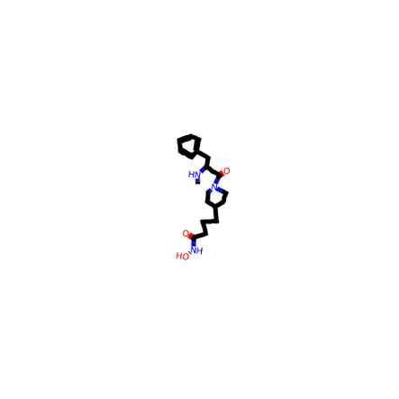 CNC(Cc1ccccc1)C(=O)N1CCC(CCCC(=O)NO)CC1